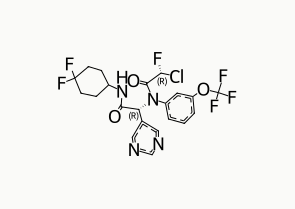 O=C(NC1CCC(F)(F)CC1)[C@@H](c1cncnc1)N(C(=O)[C@H](F)Cl)c1cccc(OC(F)(F)F)c1